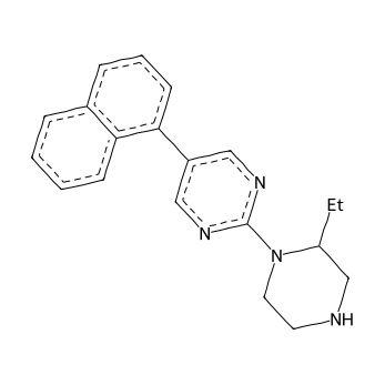 CCC1CNCCN1c1ncc(-c2cccc3ccccc23)cn1